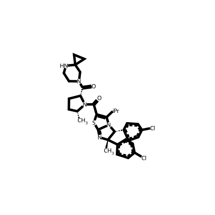 CC(C)C1=C(C(=O)N2[C@H](C)CC[C@@H]2C(=O)N2CCNC3(CC3)C2)SC2=N[C@@](C)(c3ccc(Cl)cc3)[C@@H](c3ccc(Cl)cc3)N21